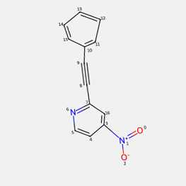 O=[N+]([O-])c1ccnc(C#Cc2ccccc2)c1